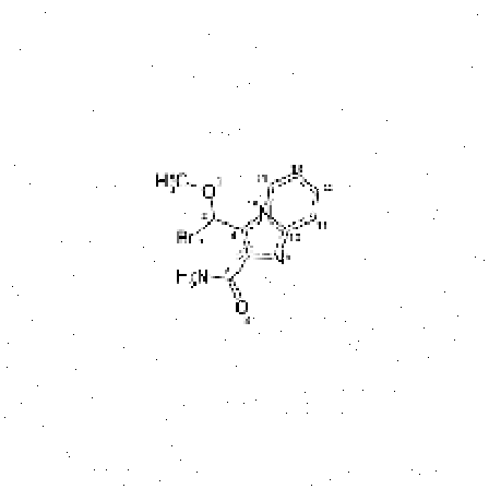 COC(Br)c1c(C(N)=O)nc2ccccn12